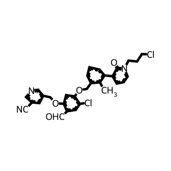 Cc1c(COc2cc(OCc3cncc(C#N)c3)c(C=O)cc2Cl)cccc1-c1cccn(CCCCl)c1=O